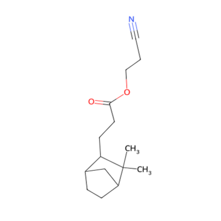 CC1(C)C2CCC(C2)C1CCC(=O)OCCC#N